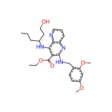 CCCC(CCO)Nc1c(C(=O)OCC)c(NCc2ccc(OC)cc2OC)nc2cccnc12